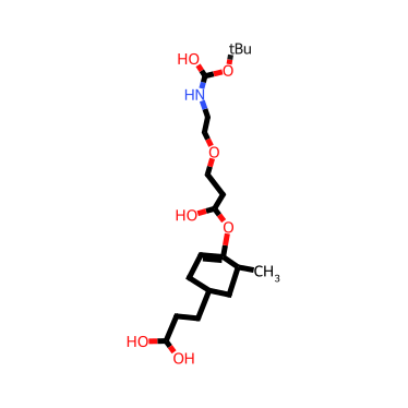 CC1CC(CCC(O)O)CC=C1OC(O)CCOCCNC(O)OC(C)(C)C